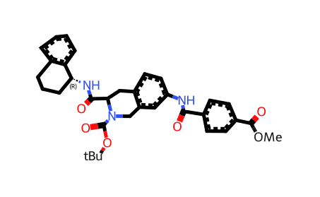 COC(=O)c1ccc(C(=O)Nc2ccc3c(c2)CN(C(=O)OC(C)(C)C)C(C(=O)N[C@@H]2CCCc4ccccc42)C3)cc1